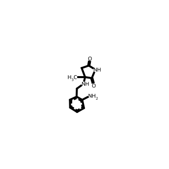 CC1(NCc2ccccc2N)CC(=O)NC1=O